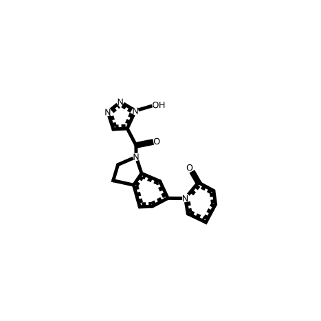 O=C(c1cnnn1O)N1CCc2ccc(-n3ccccc3=O)cc21